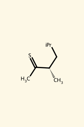 CC(=S)[C@@H](C)CC(C)C